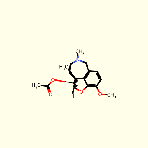 COc1ccc2c3c1O[C@H]1C[C@@H](OC(C)=O)C(C)[C@@]31CCN(C)C2